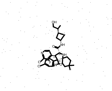 CC(CO)[C@H]1C[C@H](NC(=O)[C@@H]2NC3(CCC(C)(C)CC3)[C@@]3(C(=O)Nc4cc(Cl)ccc43)[C@H]2c2ccnc(Cl)c2F)C1